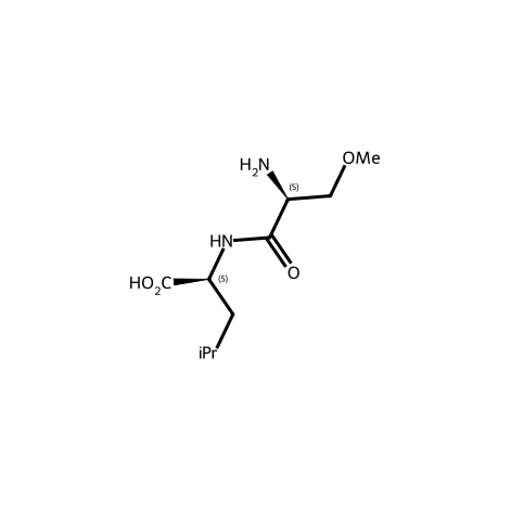 COC[C@H](N)C(=O)N[C@@H](CC(C)C)C(=O)O